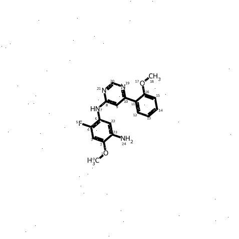 COc1cc(F)c(Nc2cc(-c3ccccc3OC)ncn2)cc1N